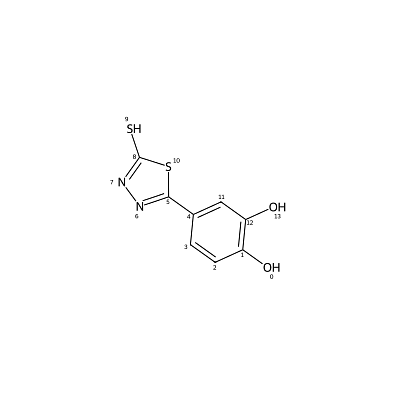 Oc1ccc(-c2nnc(S)s2)cc1O